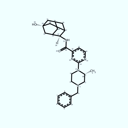 C[C@@H]1CN(Cc2ccccc2)CCN1c1nccc(C(=O)N[C@H]2C3CC4CC2C[C@](O)(C4)C3)n1